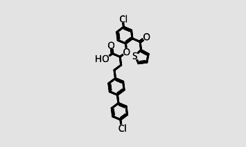 O=C(c1cccs1)c1cc(Cl)ccc1OC(CCc1ccc(-c2ccc(Cl)cc2)cc1)C(=O)O